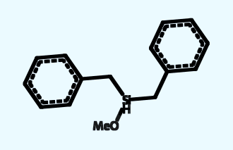 CO[SiH](Cc1ccccc1)Cc1ccccc1